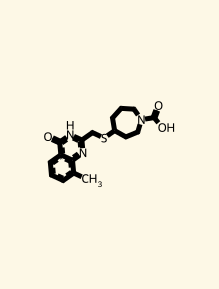 Cc1cccc2c(=O)[nH]c(CSC3CCCN(C(=O)O)CC3)nc12